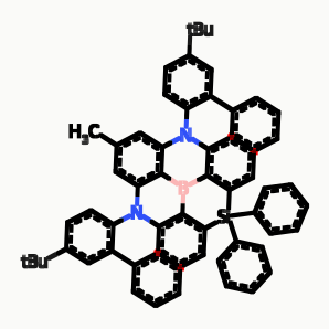 Cc1cc2c3c(c1)N(c1ccc(C(C)(C)C)cc1-c1ccccc1)c1cccc4c1B3c1c(cccc1[Si]4(c1ccccc1)c1ccccc1)N2c1ccc(C(C)(C)C)cc1-c1ccccc1